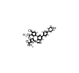 C[C@@H](Oc1cc(-n2cnc3cc(-c4ccc(N5CCNCC5)nc4)ccc32)sc1C(N)=O)c1ccccc1Cl